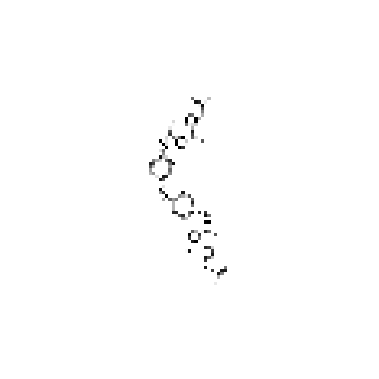 C=C(C)COC(C)OC(C)Sc1ccc(Sc2ccc(SC(C)OC(C)OCC(=C)C)cc2)cc1